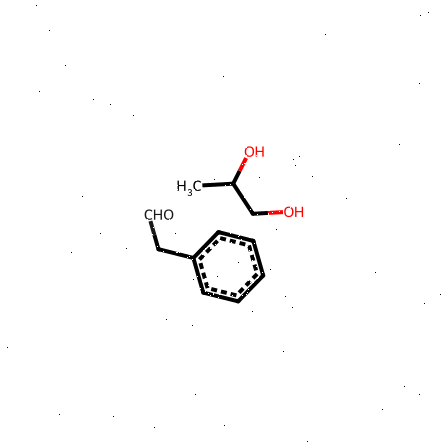 CC(O)CO.O=CCc1ccccc1